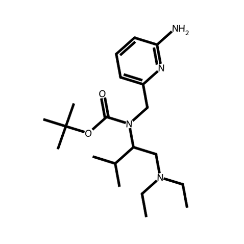 CCN(CC)CC(C(C)C)N(Cc1cccc(N)n1)C(=O)OC(C)(C)C